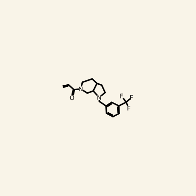 C=CC(=O)N1CCC2CCN(Cc3cccc(C(F)(F)F)c3)C2C1